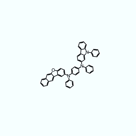 c1ccc(N(c2ccc(N(c3ccccc3)c3ccc4c5ccccc5n(-c5ccccc5)c4c3)cc2)c2ccc3oc4cc5ccccc5cc4c3c2)cc1